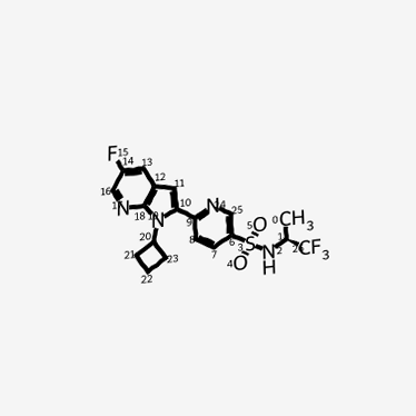 C[C@H](NS(=O)(=O)c1ccc(-c2cc3cc(F)cnc3n2C2CCC2)nc1)C(F)(F)F